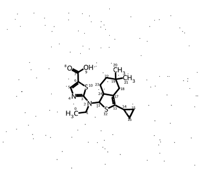 CCN(c1ncc(C(=O)O)s1)C1SC(C2CC2)=C2CC(C)(C)CCC21